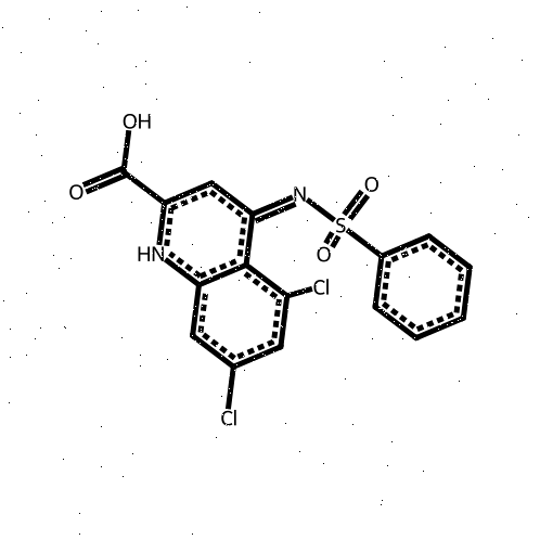 O=C(O)c1c/c(=N/S(=O)(=O)c2ccccc2)c2c(Cl)cc(Cl)cc2[nH]1